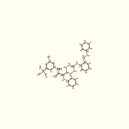 O=C(Nc1cc(F)cc(C(F)(F)F)c1)N(Cc1ccccc1)C1CCN(Cc2ccccc2OCc2ccccc2)CC1